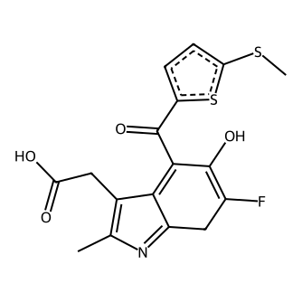 CSc1ccc(C(=O)C2=C3C(=NC(C)=C3CC(=O)O)CC(F)=C2O)s1